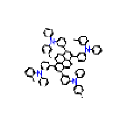 Cc1ccc(N(c2ccccc2)c2cccc(C3C=C(c4cccc(N(c5ccccc5)c5ccccc5C)c4)C4=C5C3=CC=C3C(c6cccc(N(c7ccccc7)c7cccc(C)c7)c6)=CC(c6cccc(N(c7ccccc7)c7cccc(C)c7)c6)=C(C=C4)C35)c2)cc1